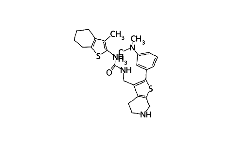 Cc1c(NC(=O)NCc2c(-c3cccc(N(C)C)c3)sc3c2CCNC3)sc2c1CCCC2